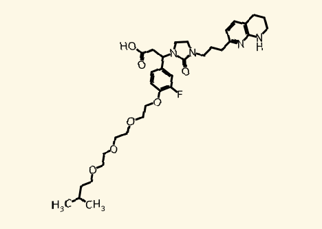 CC(C)CCOCCOCCOCCOc1ccc(C(CC(=O)O)N2CCN(CCCc3ccc4c(n3)NCCC4)C2=O)cc1F